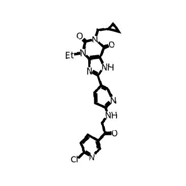 CCn1c(=O)n(CC2CC2)c(=O)c2[nH]c(-c3ccc(NCC(=O)c4ccc(Cl)nc4)nc3)nc21